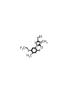 CCSc1nn(-c2cc(SCC(F)(F)F)c(C)cc2F)c(=O)n1C